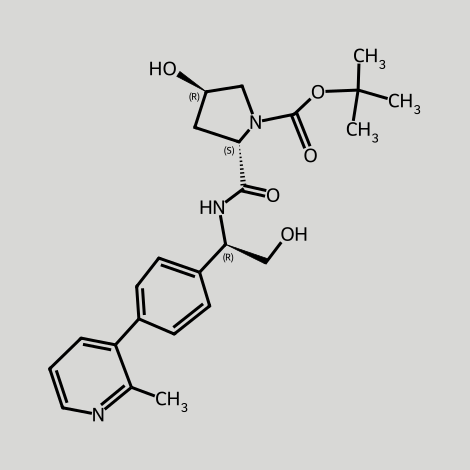 Cc1ncccc1-c1ccc([C@H](CO)NC(=O)[C@@H]2C[C@@H](O)CN2C(=O)OC(C)(C)C)cc1